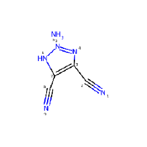 N.N#Cc1nn[nH]c1C#N